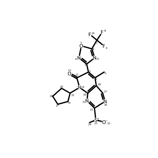 Cc1c(-c2noc(C(F)(F)F)n2)c(=O)n(C2CCCC2)c2nc([S+](C)[O-])ncc12